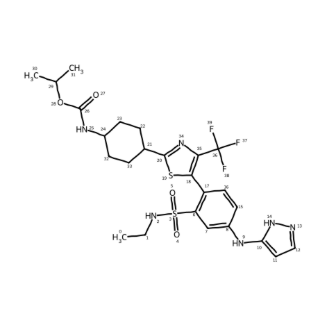 CCNS(=O)(=O)c1cc(Nc2ccn[nH]2)ccc1-c1sc(C2CCC(NC(=O)OC(C)C)CC2)nc1C(F)(F)F